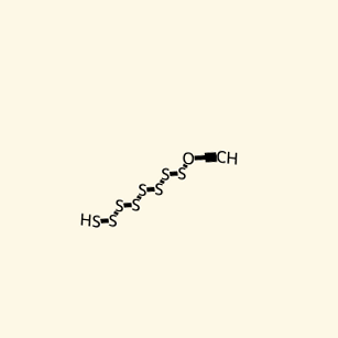 C#COSSSSSSSS